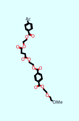 COCCOCCOC(=O)c1ccc(C(=O)OCCOC(=O)CCC(=O)OCCOC(=O)c2ccc(C(C)=O)cc2)cc1